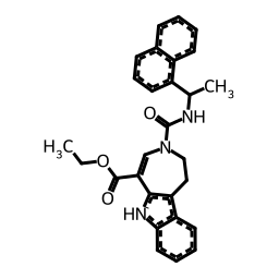 CCOC(=O)C1=CN(C(=O)NC(C)c2cccc3ccccc23)CCc2c1[nH]c1ccccc21